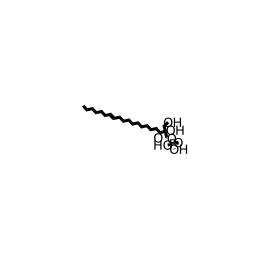 CCCCCC/C=C/CCCCCCCCCC(=O)C(O)(CO)COP(=O)(O)O